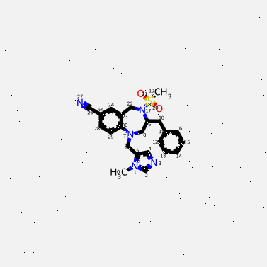 Cn1cncc1CN1CC(Cc2ccccc2)N(S(C)(=O)=O)Cc2cc(C#N)ccc21